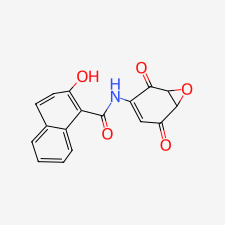 O=C(NC1=CC(=O)C2OC2C1=O)c1c(O)ccc2ccccc12